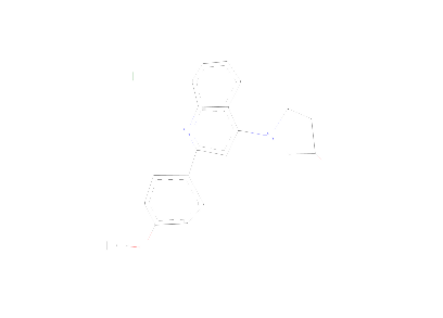 COc1ccc(-c2cc(N3CCC(O)C3)c3ccccc3n2)cc1.Cl